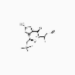 C=CCC(C)NC(=O)[C@@H]1C[C@@H](O)CN1C(=O)CC(C)(C)C